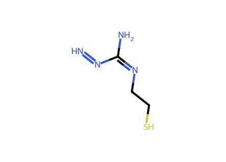 N=N/C(N)=N\CCS